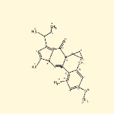 CCC(C)c1cc(C)n2nc(-c3c(C)cc(OC)cc3C)n(C3CC3)c(=O)c12